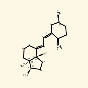 C=C1CC[C@H](O)C/C1=C/C=C1\CCC[C@]2(C)[C@H](O)CC[C@@H]12